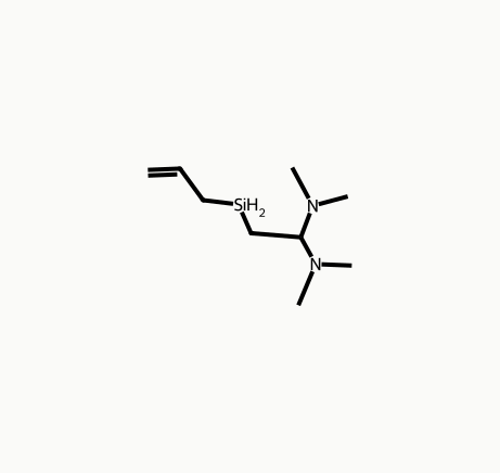 C=CC[SiH2]CC(N(C)C)N(C)C